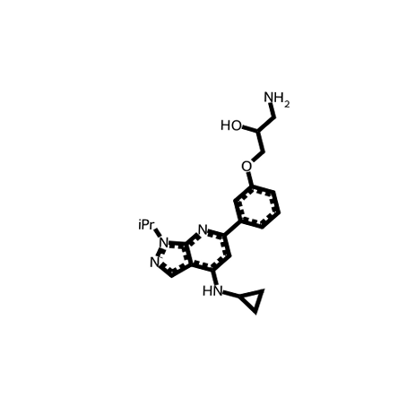 CC(C)n1ncc2c(NC3CC3)cc(-c3cccc(OCC(O)CN)c3)nc21